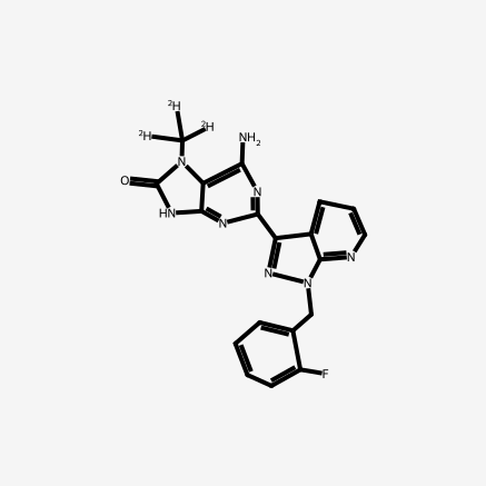 [2H]C([2H])([2H])n1c(=O)[nH]c2nc(-c3nn(Cc4ccccc4F)c4ncccc34)nc(N)c21